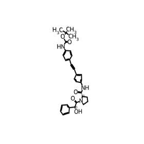 CC(C)(C)OC(=O)Nc1ccc(C#Cc2ccc(NC(=O)[C@@H]3CCCN3C(=O)[C@H](O)c3ccccc3)cc2)cc1